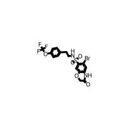 O=C1COc2cc(S(=O)(=O)NCCc3ccc(OC(F)(F)F)cc3)c(Br)cc2N1